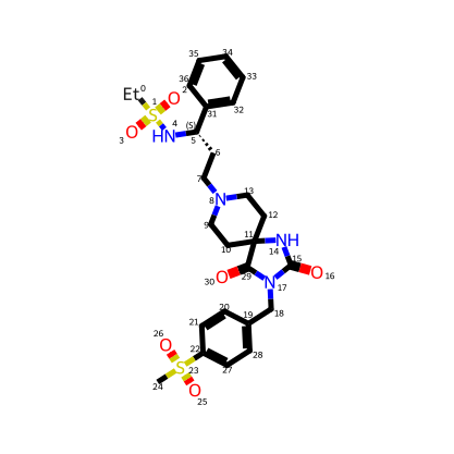 CCS(=O)(=O)N[C@@H](CCN1CCC2(CC1)NC(=O)N(Cc1ccc(S(C)(=O)=O)cc1)C2=O)c1ccccc1